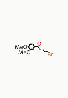 COc1ccc(C(=O)CCCCBr)cc1OC